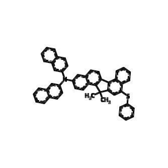 CC1(C)c2cc(Sc3ccccc3)c3ccccc3c2-c2ccc3cc(N(c4ccc5ccccc5c4)c4ccc5ccccc5c4)ccc3c21